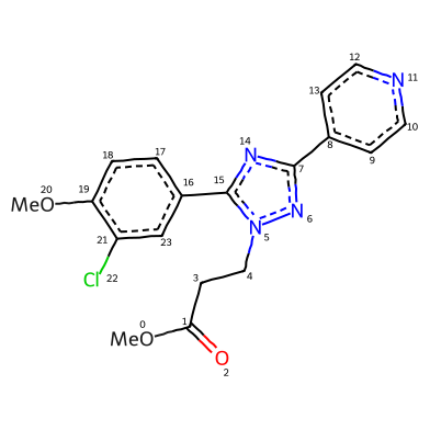 COC(=O)CCn1nc(-c2ccncc2)nc1-c1ccc(OC)c(Cl)c1